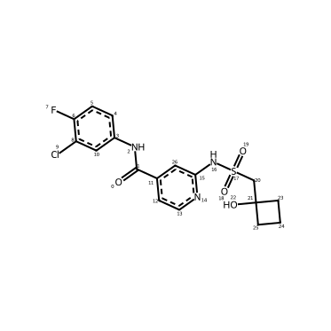 O=C(Nc1ccc(F)c(Cl)c1)c1ccnc(NS(=O)(=O)CC2(O)CCC2)c1